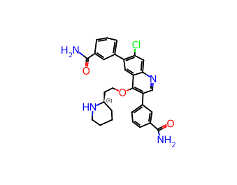 NC(=O)c1cccc(-c2cc3c(OCC[C@H]4CCCCN4)c(-c4cccc(C(N)=O)c4)cnc3cc2Cl)c1